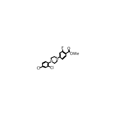 COC(=O)c1ccc(N2CCN(c3ccc(Cl)cc3Cl)CC2)cc1F